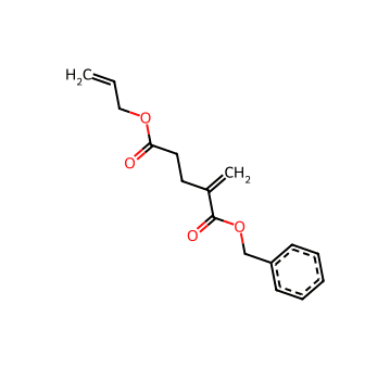 C=CCOC(=O)CCC(=C)C(=O)OCc1ccccc1